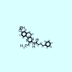 CCc1nc2c(nc1NC(=O)CCCc1ccccc1)CCc1cc(OC)ccc1-2